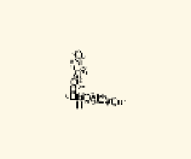 [Al+3].[Al+3].[Co].[Co].[Cu].[Cu].[LiH].[LiH].[Ni].[Ni].[O-2].[O-2].[O-2]